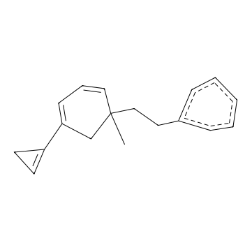 CC1(CCc2ccccc2)C=CC=C(C2=CC2)C1